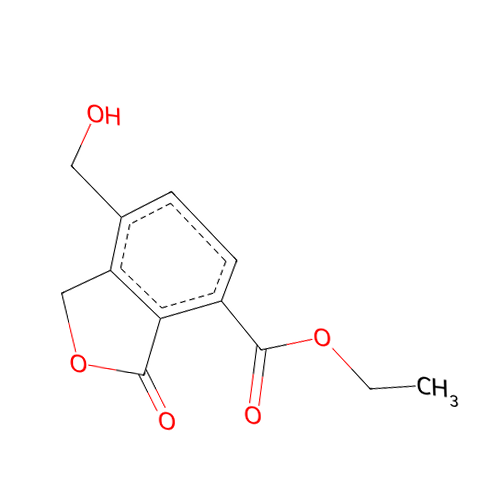 CCOC(=O)c1ccc(CO)c2c1C(=O)OC2